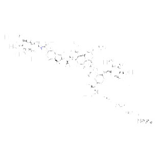 COc1ccc2c(OS(=O)(=O)Oc3cc(C(=O)N(C)CCOCCOCCOCCN=[N+]=[N-])ccc3O[C@@H]3O[C@H](C(=O)O)[C@@H](O)[C@H](O)[C@H]3O)cc3c(c2c1)[C@H](CCl)CN3C(=O)c1cc2cc(/C(C)=N/O[C@@H]3O[C@H](C(=O)O)[C@@H](O)[C@H](O)[C@H]3O)ccc2[nH]1